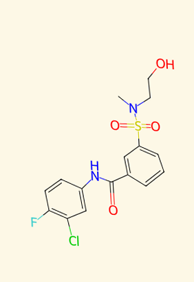 CN(CCO)S(=O)(=O)c1cccc(C(=O)Nc2ccc(F)c(Cl)c2)c1